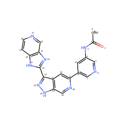 CCCCC(=O)Nc1cncc(-c2cc3c(-c4nc5cnccc5[nH]4)n[nH]c3cn2)c1